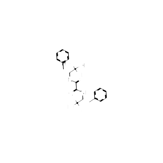 CC(C)(O)[C@@H](Cc1ccccc1)NC(=O)C(=O)N[C@H](Cc1ccccc1)C(C)(C)O